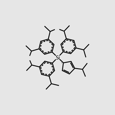 CC(C)C1=C[C]([Si](c2cc(C(C)C)cc(C(C)C)c2)(c2cc(C(C)C)cc(C(C)C)c2)c2cc(C(C)C)cc(C(C)C)c2)C=C1